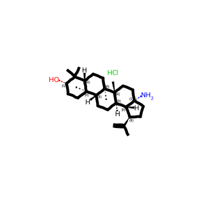 C=C(C)[C@@H]1CC[C@]2(N)CC[C@]3(C)[C@H](CC[C@@H]4[C@@]5(C)CC[C@H](O)C(C)(C)[C@@H]5CC[C@]43C)[C@@H]12.Cl